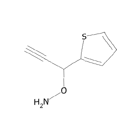 C#CC(ON)c1cccs1